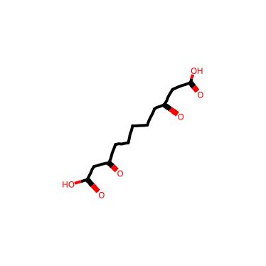 O=C(O)CC(=O)CCCCCC(=O)CC(=O)O